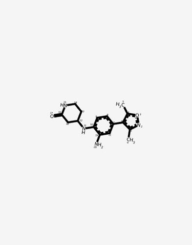 Cc1noc(C)c1-c1ccc(NC2CCNC(=O)C2)c(N)c1